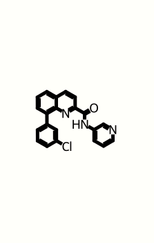 O=C(Nc1cccnc1)c1ccc2cccc(-c3cccc(Cl)c3)c2n1